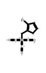 CCC1=C([CH2][W](=[C]=O)(=[C]=O)=[C]=O)CC=C1